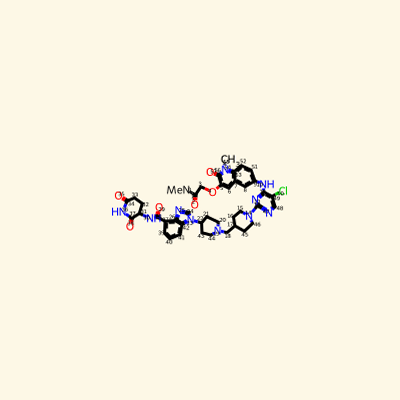 CNC(=O)COc1cc2cc(Nc3nc(N4CCC(CN5CCC(n6cnc7c(C(=O)NC8CCC(=O)NC8=O)cccc76)CC5)CC4)ncc3Cl)ccc2n(C)c1=O